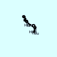 CCCCNC(=O)COc1ccc2c(c1)CC(NC[C@H](O)COc1ccc3c(ccn3Cc3ccccc3)c1)CCC2